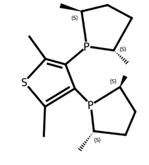 Cc1sc(C)c(P2[C@@H](C)CC[C@@H]2C)c1P1[C@@H](C)CC[C@@H]1C